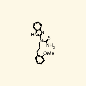 COc1ccccc1CCCN(C(N)=S)c1nc2ccccc2[nH]1